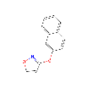 [c]1c(Oc2ccon2)ccc2ccccc12